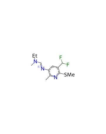 CCN(C)/C=N/c1cc(C(F)F)c(SC)nc1C